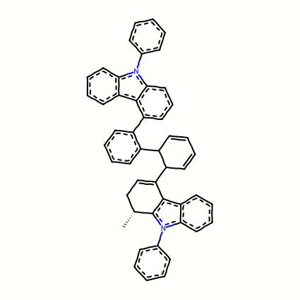 C[C@@H]1CC=C(C2C=CC=CC2c2ccccc2-c2cccc3c2c2ccccc2n3-c2ccccc2)c2c1n(-c1ccccc1)c1ccccc21